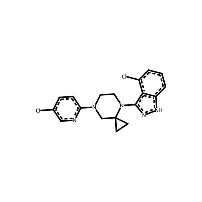 Clc1ccc(N2CCN(c3n[nH]c4cccc(Cl)c34)C3(CC3)C2)nc1